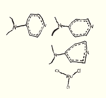 CN(C)c1ccncc1.CN(C)c1ccncc1.CN(C)c1ccncc1.[Cl][Ru]([Cl])[Cl]